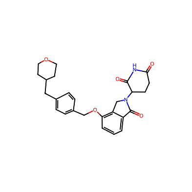 O=C1CCC(N2Cc3c(OCc4ccc(CC5CCOCC5)cc4)cccc3C2=O)C(=O)N1